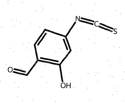 O=Cc1ccc(N=C=S)cc1O